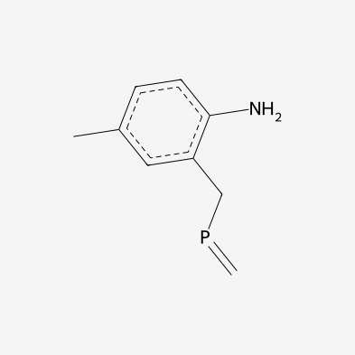 C=PCc1cc(C)ccc1N